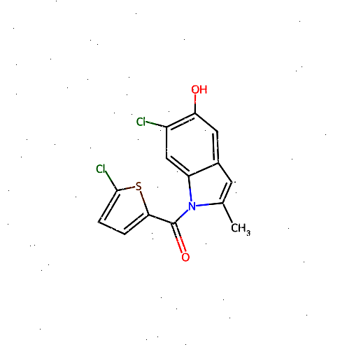 Cc1[c]c2cc(O)c(Cl)cc2n1C(=O)c1ccc(Cl)s1